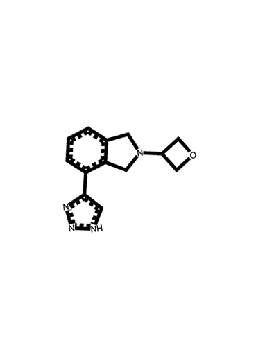 c1cc2c(c(-c3c[nH]nn3)c1)CN(C1COC1)C2